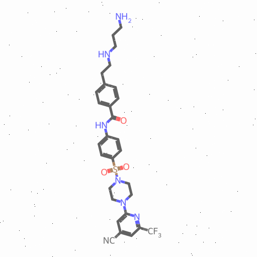 N#Cc1cc(N2CCN(S(=O)(=O)c3ccc(NC(=O)c4ccc(CCNCCCN)cc4)cc3)CC2)nc(C(F)(F)F)c1